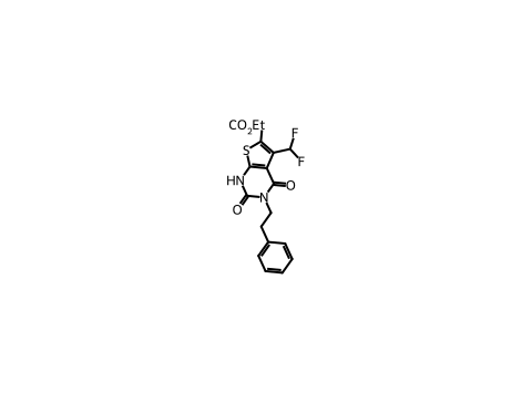 CCOC(=O)c1sc2[nH]c(=O)n(CCc3ccccc3)c(=O)c2c1C(F)F